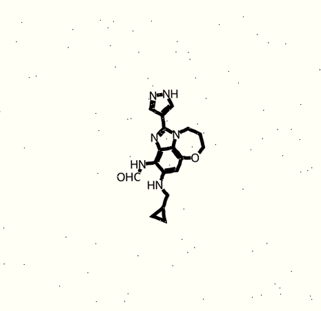 O=CNc1c(NCC2CC2)cc2c3c1nc(-c1cn[nH]c1)n3CCCO2